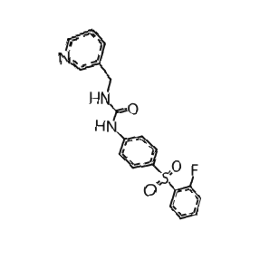 O=C(NCc1cccnc1)Nc1ccc(S(=O)(=O)c2ccccc2F)cc1